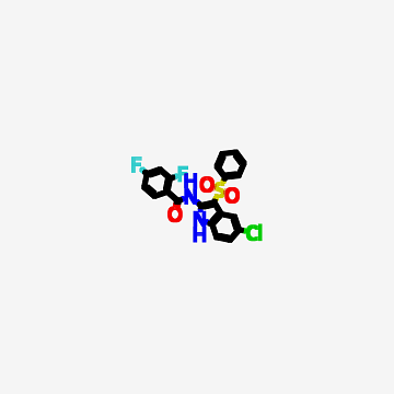 O=C(Nc1[nH]c2ccc(Cl)cc2c1S(=O)(=O)c1ccccc1)c1ccc(F)cc1F